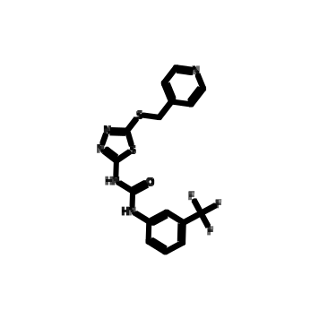 O=C(Nc1cccc(C(F)(F)F)c1)Nc1nnc(SCc2ccncc2)s1